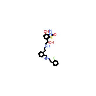 O=c1[nH]c2c(O)ccc(C(O)CNCCc3ccccc3CNCCc3ccccc3F)c2s1